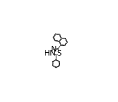 c1ccc(C2NN=C(c3cccc4ccccc34)S2)cc1